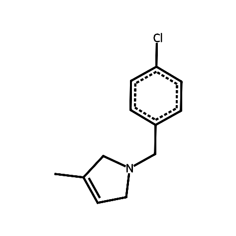 CC1=CCN(Cc2ccc(Cl)cc2)C1